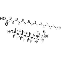 CCCCCCCCC=CCCCCCCCC(=O)O.OC(F)(F)C(F)(F)C(F)(F)C(F)(F)C(F)(F)C(F)(F)C(F)C(F)C(F)C(F)F